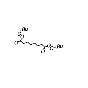 CC(C)(C)OOC(=O)CCCCCCC(=O)OOC(C)(C)C